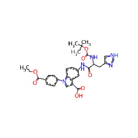 CCOC(=O)c1ccc(-n2cc(C(=O)O)c3cc(NC(=O)C(Cc4c[nH]cn4)NC(=O)OC(C)(C)C)ccc32)cc1